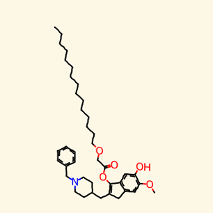 CCCCCCCCCCCCCCCOCC(=O)OC1=C(CC2CCN(Cc3ccccc3)CC2)Cc2cc(OC)c(O)cc21